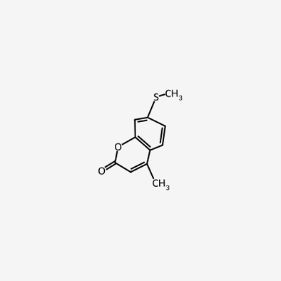 CSc1ccc2c(C)cc(=O)oc2c1